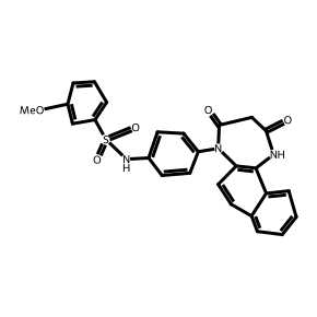 COc1cccc(S(=O)(=O)Nc2ccc(N3C(=O)CC(=O)Nc4c3ccc3ccccc43)cc2)c1